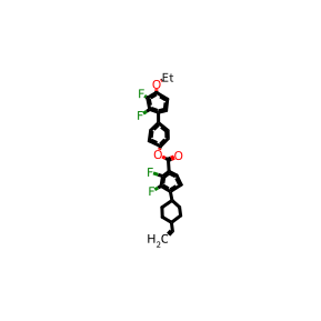 C=CC1CCC(c2ccc(C(=O)Oc3ccc(-c4ccc(OCC)c(F)c4F)cc3)c(F)c2F)CC1